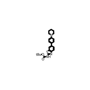 CC(C)(C)OC(=O)Nc1nc2ccc(-c3ccc(N4CCCCC4)cc3)cc2s1